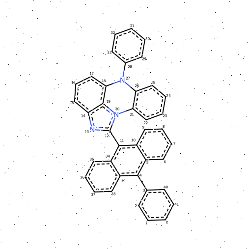 c1ccc(-c2c3ccccc3c(-c3nc4cccc5c4n3-c3ccccc3N5c3ccccc3)c3ccccc23)cc1